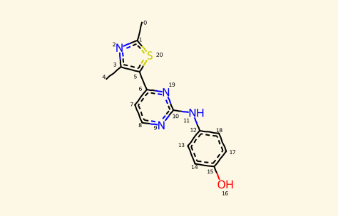 Cc1nc(C)c(-c2ccnc(Nc3ccc(O)cc3)n2)s1